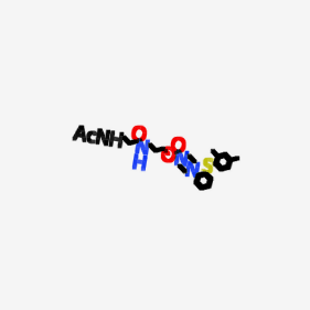 CC(=O)NCCC(=O)NCCCOC(=O)N1CCN(c2ccccc2Sc2ccc(C)cc2C)CC1